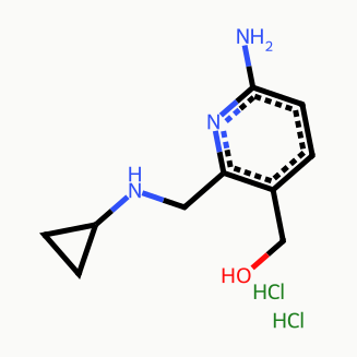 Cl.Cl.Nc1ccc(CO)c(CNC2CC2)n1